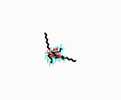 CCCCCCCC[O][Sn]([O][Sn]([O]CCCCCCCC)([C](F)(F)C(F)(F)CC(F)(F)F)[C](F)(F)C(F)(F)CC(F)(F)F)([C](F)(F)C(F)(F)CC(F)(F)F)[C](F)(F)C(F)(F)CC(F)(F)F